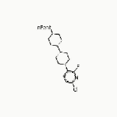 CCCCC[C@H]1CC[C@H]([C@H]2CC[C@H](c3ccc(Cl)nc3F)CC2)CC1